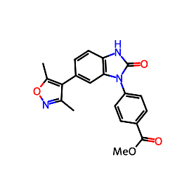 COC(=O)c1ccc(-n2c(=O)[nH]c3ccc(-c4c(C)noc4C)cc32)cc1